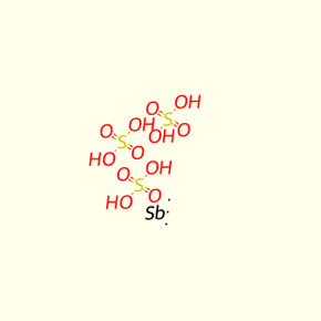 O=S(=O)(O)O.O=S(=O)(O)O.O=S(=O)(O)O.[Sb]